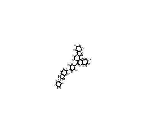 c1ccc(-c2nc3ccc(-c4ccc(-c5nc6ccccc6c6c5ccc5c7ccccc7sc56)cc4)cc3s2)cc1